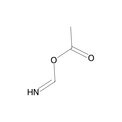 CC(=O)OC=N